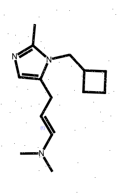 Cc1ncc(C/C=C/N(C)C)n1CC1CCC1